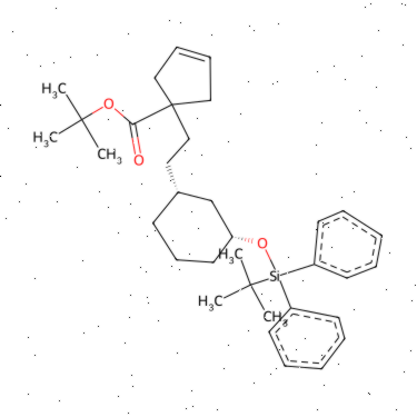 CC(C)(C)OC(=O)C1(CC[C@H]2CCC[C@@H](O[Si](c3ccccc3)(c3ccccc3)C(C)(C)C)C2)CC=CC1